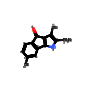 CCCCc1c(C(=O)OCC)[nH]c2c1C(=O)c1ccc(C#N)cc1-2